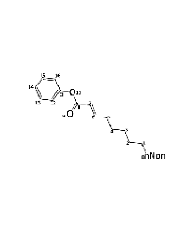 CCCCCCCCCCCCCCC=CC(=O)Oc1ccccc1